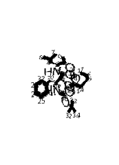 CC(=O)[C@H](CC(C)C)NC(=O)[C@@H](OC1CCCCO1)[C@@H](Cc1ccccc1)NC(=O)OC(C)(C)C